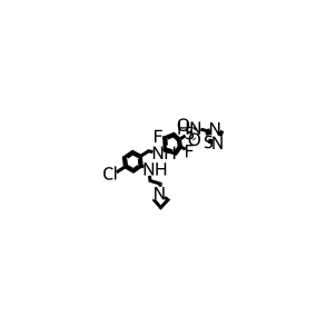 O=S(=O)(Nc1ncns1)c1cc(F)c(NCc2ccc(Cl)cc2NCCN2CCC2)cc1F